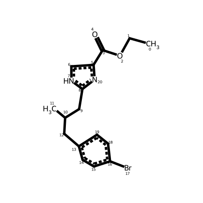 CCOC(=O)c1c[nH]c(CC(C)Cc2ccc(Br)cc2)n1